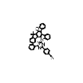 CC1(C)c2ccccc2-c2c1c1oc3ccccc3c1c1c3ccccc3n(-c3nc(-c4ccccc4)nc(-c4ccc(C#N)cc4)n3)c21